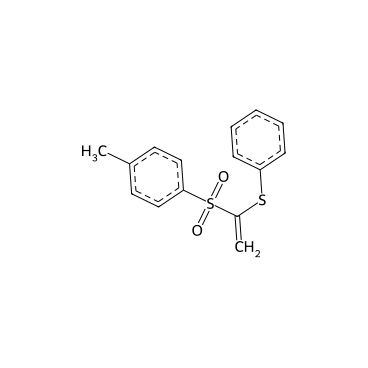 C=C(Sc1ccccc1)S(=O)(=O)c1ccc(C)cc1